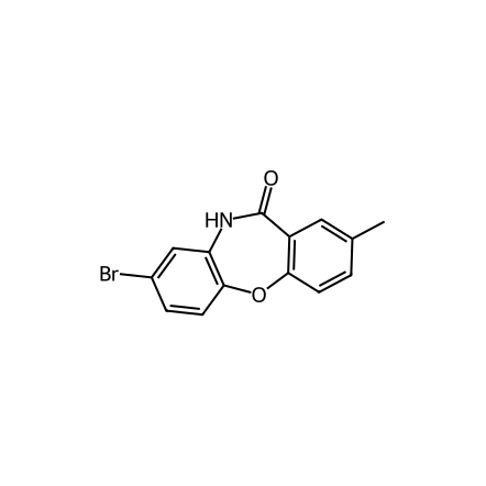 Cc1ccc2c(c1)C(=O)Nc1cc(Br)ccc1O2